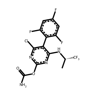 C[C@H](Nc1nc(OC(N)=O)nc(Cl)c1-c1c(F)cc(F)cc1F)C(F)(F)F